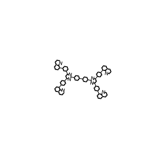 c1cc(-c2cc(-c3ccc(-c4cccc5cccnc45)cc3)nc(-c3ccc(-c4ccc(-c5nc(-c6ccc(-c7cccc8cccnc78)cc6)cc(-c6ccc(-c7cccc8cccnc78)cc6)n5)cc4)cc3)n2)cc(-c2cccc3cccnc23)c1